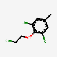 Cc1cc(Cl)c(OCCCl)c(Cl)c1